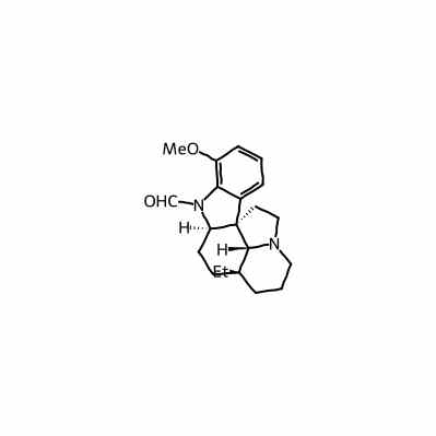 CC[C@@]12CCCN3CC[C@]4(c5cccc(OC)c5N(C=O)[C@@H]4CC1)[C@H]32